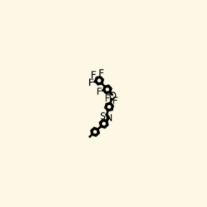 Cc1ccc(-c2ccc3nc(-c4ccc(C(F)(F)Oc5ccc(-c6cc(F)c(F)c(F)c6)c(F)c5)cc4)sc3c2)cc1